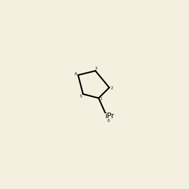 CC(C)C1CCCC1